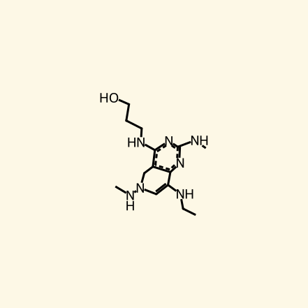 CCNC1=CN(NC)Cc2c(NCCCO)nc(NC)nc21